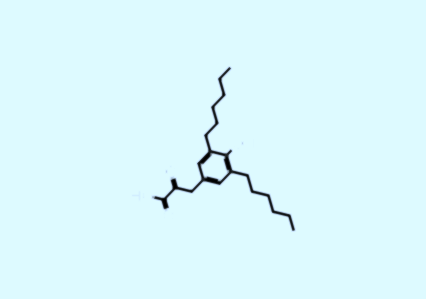 CCCCCCc1cc(CC(=O)C(=O)O)cc(CCCCCC)c1O